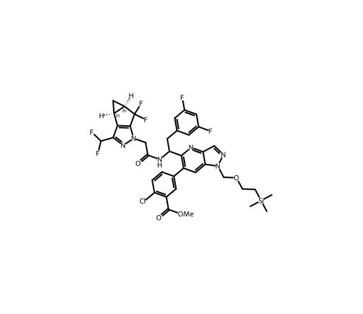 COC(=O)c1cc(-c2cc3c(cnn3COCC[Si](C)(C)C)nc2C(Cc2cc(F)cc(F)c2)NC(=O)Cn2nc(C(F)F)c3c2C(F)(F)[C@@H]2C[C@H]32)ccc1Cl